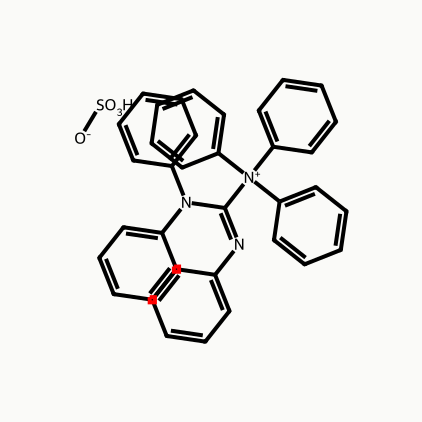 O=S(=O)([O-])O.c1ccc(N=C(N(c2ccccc2)c2ccccc2)[N+](c2ccccc2)(c2ccccc2)c2ccccc2)cc1